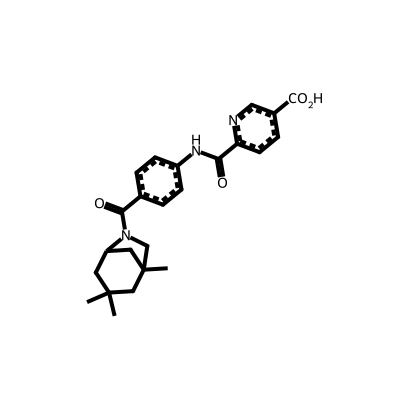 CC1(C)CC2CC(C)(CN2C(=O)c2ccc(NC(=O)c3ccc(C(=O)O)cn3)cc2)C1